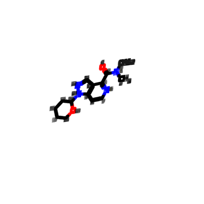 CON(C)C(=O)c1nccc2c1cnn2C1CCCCO1